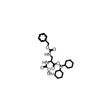 CC(C)(C)OC(=O)NC(CNC(=O)OCc1ccccc1)C(=O)ON(C1CCCCC1)C1CCCCC1